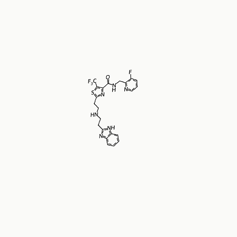 O=C(NCc1ncccc1F)c1nc(CCNCCc2nc3ccccc3[nH]2)sc1C(F)(F)F